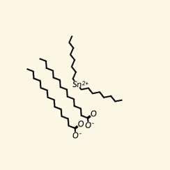 CCCCCCCCCCCCCC(=O)[O-].CCCCCCCCCCCCCC(=O)[O-].CCCCCCC[CH2][Sn+2][CH2]CCCCCCC